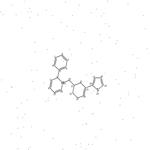 C1=CC(c2ccccc2)N(CC2CCC=C(c3cccs3)C2)C=C1